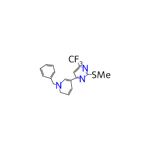 CSc1nc(C2=CN(Cc3ccccc3)CC=C2)cc(C(F)(F)F)n1